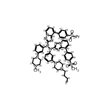 CC(C)S(=O)(=O)c1ccc(-c2cccn3nc(N(c4cccc(N5CCN(C)CC5)c4)N(c4cccc(N5CCN(CCCF)CC5)c4)c4nc5c(-c6ccc(S(C)(=O)=O)cc6)cccn5n4)nc23)cc1